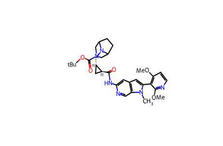 COc1ccnc(OC)c1-c1cc2cc(NC(=O)[C@H]3C[C@@H]3CN3C4CCC3CN(C(=O)OC(C)(C)C)C4)ncc2n1C